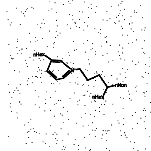 CCCCCCCCCC(CCCCCC)CCC[n+]1cccc(CCCCCC)c1